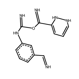 N=Cc1cccc(NC(=N)OC(=N)C2=CC=CNN2)c1